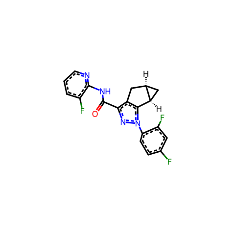 O=C(Nc1ncccc1F)c1nn(-c2ccc(F)cc2F)c2c1C[C@H]1C[C@@H]21